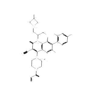 C=CC(=O)N1CCN(c2c(C#N)c(=O)n3c4c(c(-c5ccc(F)cc5F)c(Cl)cc24)OCC3CN2CC(F)C2)[C@@H](C)C1